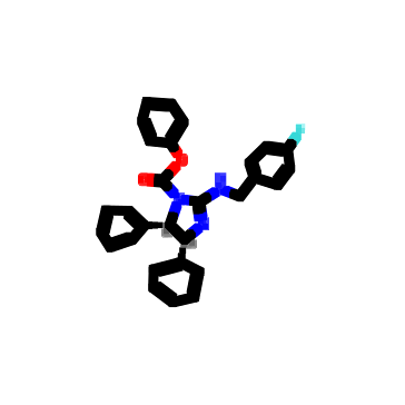 O=C(Oc1ccccc1)N1C(NCc2ccc(F)cc2)=N[C@H](c2ccccc2)[C@@H]1c1ccccc1